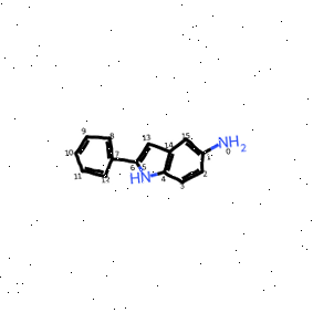 Nc1ccc2[nH]c(-c3ccccc3)cc2c1